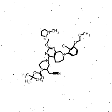 COCOc1cccc(N2CCCc3c(nc(OC[C@@H]4CCCN4C)nc3N3CCN(C(=O)OC(C)(C)C)C(CC#N)C3)C2)c1Cl